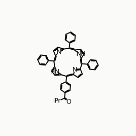 CC(C)C(=O)c1ccc(-c2c3nc(c(-c4ccccc4)c4ccc([nH]4)c(-c4ccccc4)c4nc(c(-c5ccccc5)c5ccc2[nH]5)C=C4)C=C3)cc1